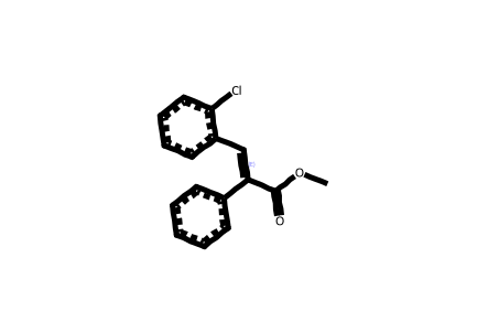 COC(=O)/C(=C/c1ccccc1Cl)c1ccccc1